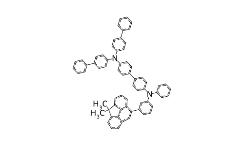 CC1(C)c2cccc3cc(-c4cccc(N(c5ccccc5)c5ccc(-c6ccc(N(c7ccc(-c8ccccc8)cc7)c7ccc(-c8ccccc8)cc7)cc6)cc5)c4)c4cccc1c4c23